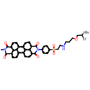 CCCCC(CC)COCCCNCCS(=O)(=O)c1ccc(N2C(=O)c3ccc4c5ccc6c7c(ccc(c8ccc(c3c48)C2=O)c75)C(=O)N(C)C6=O)cc1